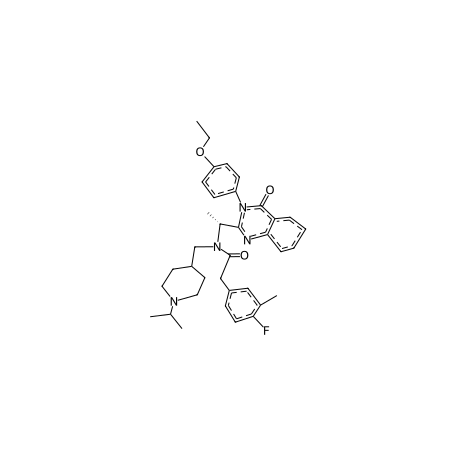 CCOc1ccc(-n2c([C@@H](C)N(CC3CCN(C(C)C)CC3)C(=O)Cc3ccc(F)c(C)c3)nc3ccccc3c2=O)cc1